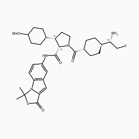 COC1CCC([C@@H]2CCN(C(=O)[C@H]3CC[C@H]([C@H](N)CF)CC3)[C@@H]2C(=O)Nc2ccc3c(c2)cc2n3C(C)(C)OC2=O)CC1